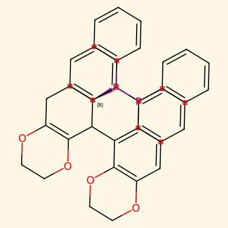 c1ccc(P(c2ccccc2)c2ccc3c(c2C2C4=C(CC[C@H]2P(c2ccccc2)c2ccccc2)OCCO4)OCCO3)cc1